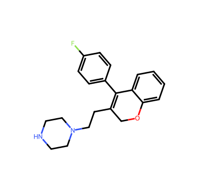 Fc1ccc(C2=C(CCN3CCNCC3)COc3ccccc32)cc1